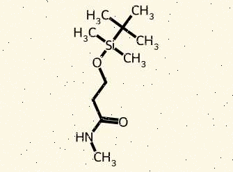 CNC(=O)CCO[Si](C)(C)C(C)(C)C